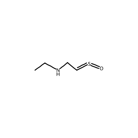 CCNCC=S=O